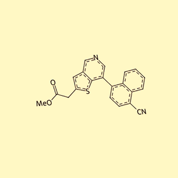 COC(=O)Cc1cc2cncc(-c3ccc(C#N)c4ccccc34)c2s1